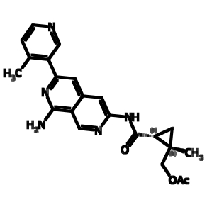 CC(=O)OC[C@@]1(C)C[C@H]1C(=O)Nc1cc2cc(-c3cnccc3C)nc(N)c2cn1